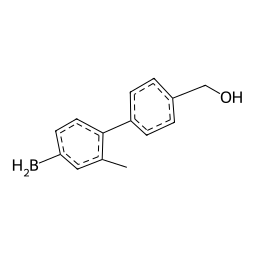 Bc1ccc(-c2ccc(CO)cc2)c(C)c1